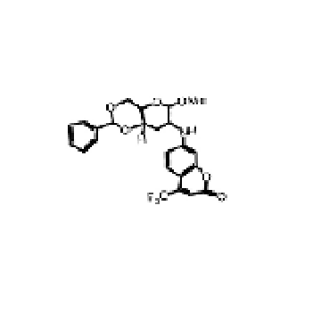 COC1OC2COC(c3ccccc3)O[C@H]2CC1Nc1ccc2c(C(F)(F)F)cc(=O)oc2c1